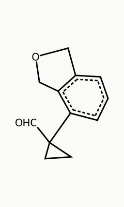 O=CC1(c2cccc3c2COC3)CC1